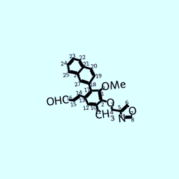 COc1c(OCc2cocn2)c(C)cc(C=CC=O)c1-c1ccc2ccccc2c1